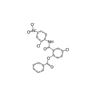 O=C(Oc1ccc(Cl)cc1C(=O)Nc1ccc([N+](=O)[O-])cc1Cl)c1ccccc1